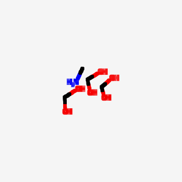 CN.OCO.OCO.OCO